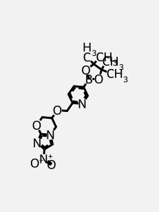 CC1(C)OB(c2ccc(COC3COc4nc([N+](=O)[O-])cn4C3)nc2)OC1(C)C